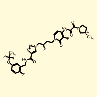 C[C@@H]1CCN(C(=O)C(=O)Nc2ccn(CCC(F)Cn3cc(C(=O)NCc4cc(OC(C)(F)F)ccc4F)nn3)c(=O)c2F)C1